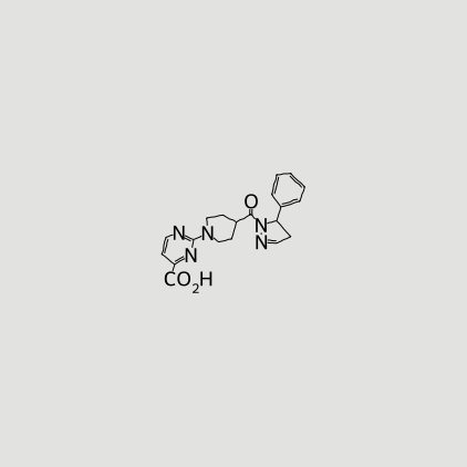 O=C(O)c1ccnc(N2CCC(C(=O)N3N=CCC3c3ccccc3)CC2)n1